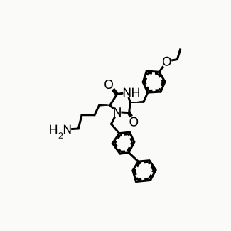 CCOc1ccc(C[C@@H]2NC(=O)[C@H](CCCCN)N(Cc3ccc(-c4ccccc4)cc3)C2=O)cc1